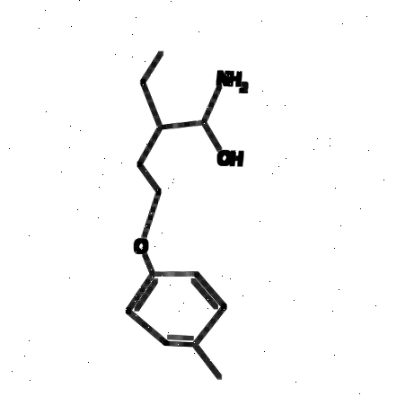 CCC(CCOc1ccc(C)cc1)C(N)O